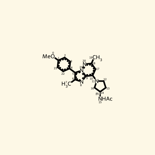 COc1ccc(-c2c(C)nc3c(N4CC[C@@H](NC(C)=O)C4)cc(C)nn23)cc1